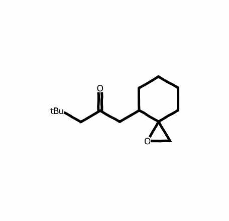 CC(C)(C)CC(=O)CC1CCCCC12CO2